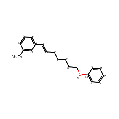 COc1cccc(C=CCCCCCOc2ccccc2)c1